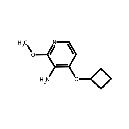 COc1nccc(OC2CCC2)c1N